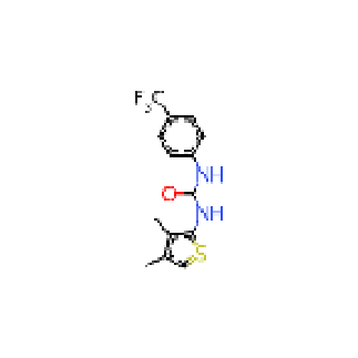 Cc1csc(NC(=O)Nc2ccc(C(F)(F)F)cc2)c1C